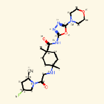 CC1(NCC(=O)N2C[C@@H](F)C[C@H]2C#N)CCC(C)(C(=O)Nc2nnc(N3CCOCC3)o2)CC1